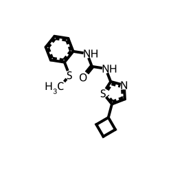 CSc1ccccc1NC(=O)Nc1ncc(C2CCC2)s1